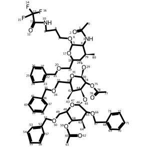 CC(=O)NC1[C@H](OCCCNC(=O)C(F)(F)F)OC(COCc2ccccc2)[C@@H](O[C@@H]2OC(COCc3ccccc3)[C@H](C)[C@H](O[C@H]3OC(COCc4ccccc4)[C@H](OC(C)=O)[C@H](C)C3OCc3ccccc3)C2OC(C)=O)[C@@H]1C